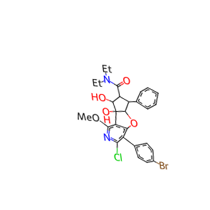 CCN(CC)C(=O)C1C(c2ccccc2)C2Oc3c(-c4ccc(Br)cc4)c(Cl)nc(OC)c3C2(O)C1O